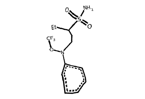 CCC(CN(OC(F)(F)F)c1ccccc1)S(N)(=O)=O